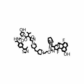 C#Cc1c(F)ccc2cc(O)cc(-c3ncc4c(N5CC6CCC(C5)N6)nc(OCCN5CCC(CC6CCN(c7cc(C(C(=O)N8C[C@H](O)C[C@H]8C(=O)NC(C)c8ccc(-c9scnc9C)cc8)C(C)C)on7)CC6)CC5)nc4c3F)c12